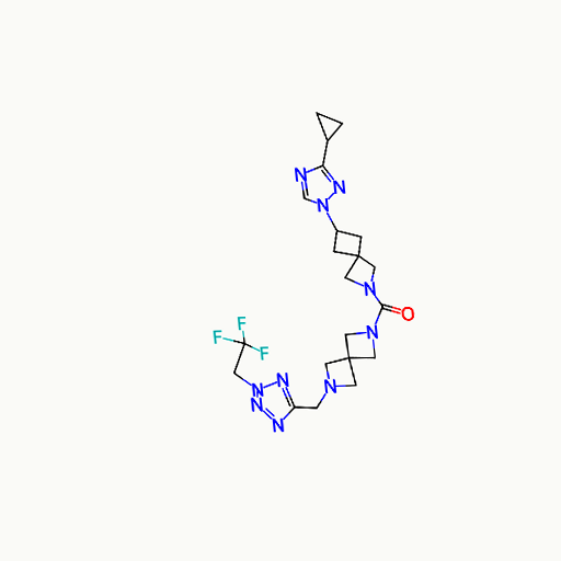 O=C(N1CC2(CC(n3cnc(C4CC4)n3)C2)C1)N1CC2(CN(Cc3nnn(CC(F)(F)F)n3)C2)C1